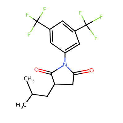 CC(C)CC1CC(=O)N(c2cc(C(F)(F)F)cc(C(F)(F)F)c2)C1=O